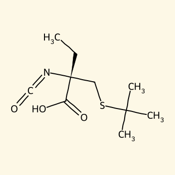 CC[C@](CSC(C)(C)C)(N=C=O)C(=O)O